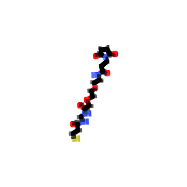 O=C(CCN1C(=O)C=CC1=O)NCCOCCOCC(=O)NCNC(=O)CCS